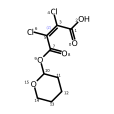 O=C(O)/C(Cl)=C(/Cl)C(=O)OC1CCCCO1